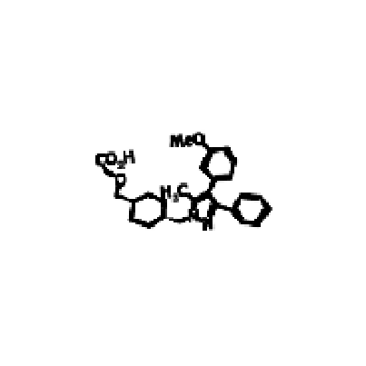 COc1cccc(-c2c(-c3ccccc3)nn(C[C@H]3CC[C@H](COCC(=O)O)CC3)c2C)c1